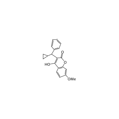 COc1ccc2c(O)c(C(c3cc[c]cc3)C3CC3)c(=O)oc2c1